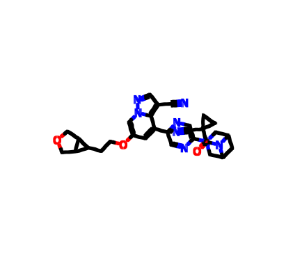 N#Cc1cnn2cc(OCCC3C4COCC34)cc(-c3cnc(N4CC5CC(C4)N5C(=O)C4(C#N)CC4)cn3)c12